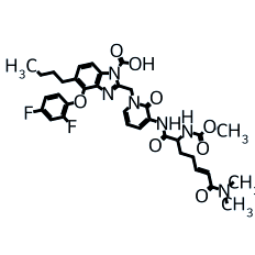 CCCCc1ccc2c(nc(Cn3cccc(NC(=O)C(CCC=CC(=O)N(C)C)NC(=O)OC)c3=O)n2C(=O)O)c1Oc1ccc(F)cc1F